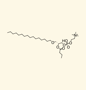 CCCCCCCCCCCCCCCCOC[C@H](COP(=O)(O)OCC[N+](C)(C)C)OC(=O)CCC